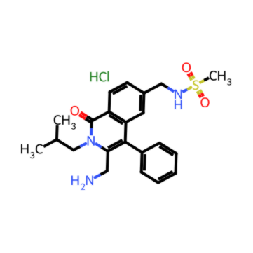 CC(C)Cn1c(CN)c(-c2ccccc2)c2cc(CNS(C)(=O)=O)ccc2c1=O.Cl